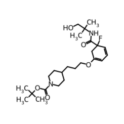 CC(C)(CO)NC(=O)C1(F)C=CC=C(OCCCC2CCN(C(=O)OC(C)(C)C)CC2)C1